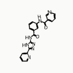 O=C(Nc1cccc(C(=O)Nc2nnc(-c3ccccn3)[nH]2)c1)c1cccnc1